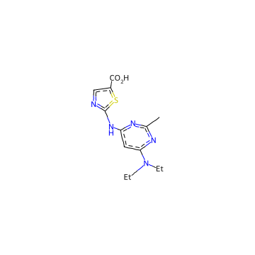 CCN(CC)c1cc(Nc2ncc(C(=O)O)s2)nc(C)n1